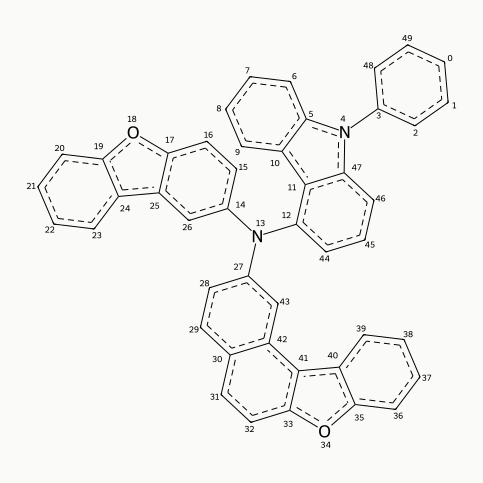 c1ccc(-n2c3ccccc3c3c(N(c4ccc5oc6ccccc6c5c4)c4ccc5ccc6oc7ccccc7c6c5c4)cccc32)cc1